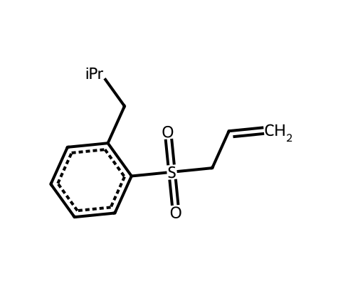 C=CCS(=O)(=O)c1ccccc1CC(C)C